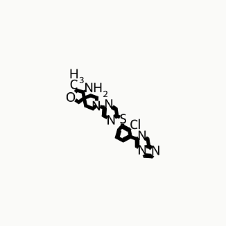 C[C@@H]1OCC2(CCN(c3cnc(Sc4cccc(-c5cn6ccnc6cn5)c4Cl)cn3)CC2)[C@@H]1N